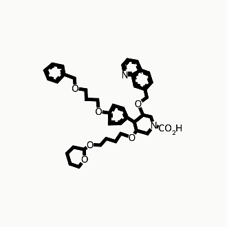 O=C(O)N1CC(OCCCCOC2CCCCO2)C(c2ccc(OCCCOCc3ccccc3)cc2)C(OCc2ccc3cccnc3c2)C1